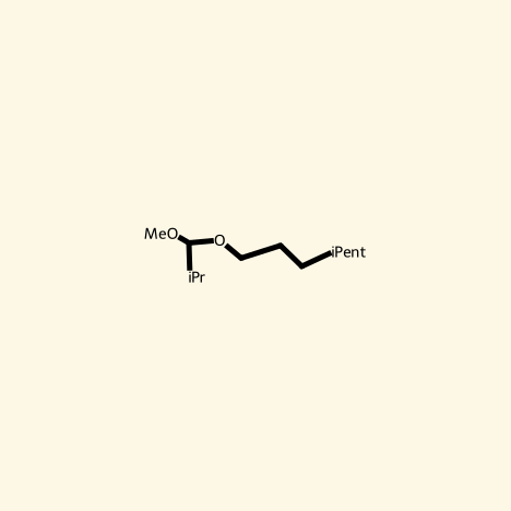 CCCC(C)CCCOC(OC)C(C)C